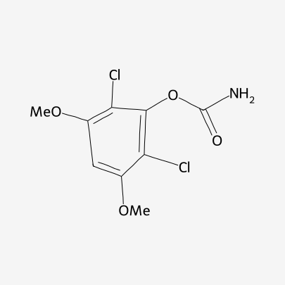 COc1cc(OC)c(Cl)c(OC(N)=O)c1Cl